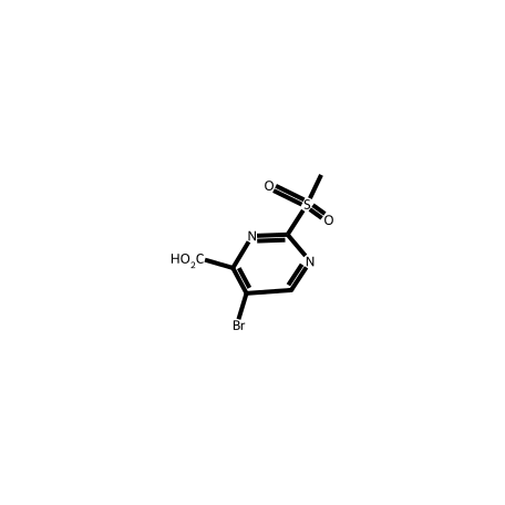 CS(=O)(=O)c1ncc(Br)c(C(=O)O)n1